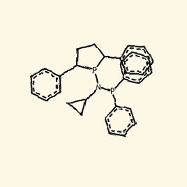 c1ccc(C2CCC(c3ccccc3)P2N(C2CC2)P(c2ccccc2)c2ccccc2)cc1